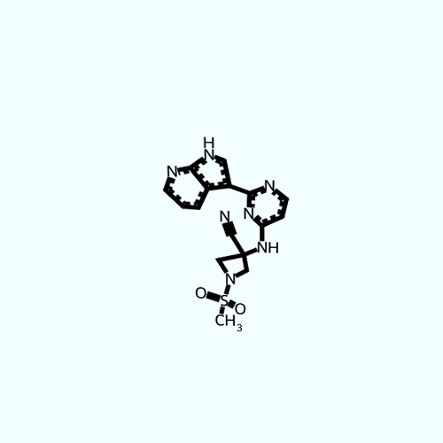 CS(=O)(=O)N1CC(C#N)(Nc2ccnc(-c3c[nH]c4ncccc34)n2)C1